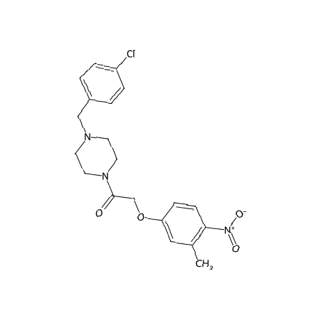 Cc1cc(OCC(=O)N2CCN(Cc3ccc(Cl)cc3)CC2)ccc1[N+](=O)[O-]